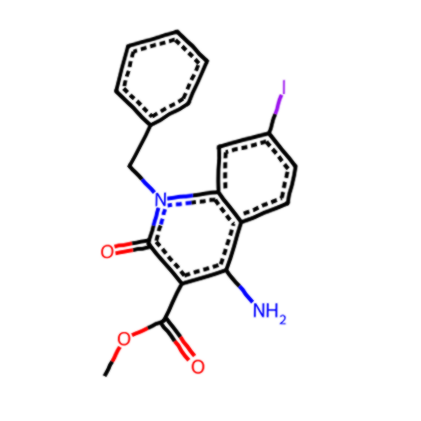 COC(=O)c1c(N)c2ccc(I)cc2n(Cc2ccccc2)c1=O